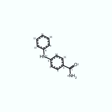 NC(=O)c1ccc(Nc2ccccc2)cc1